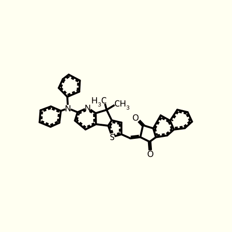 CC1(C)c2cc(C=C3C(=O)c4cc5ccccc5cc4C3=O)sc2-c2ccc(N(c3ccccc3)c3ccccc3)nc21